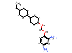 CCC1CCC(C2CCC(OCOc3ccc(N)cc3N)CC2)CC1